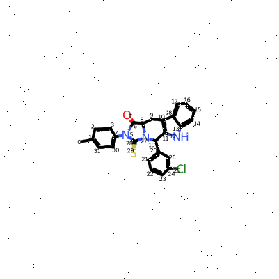 Cc1ccc(N2C(=O)C3Cc4c([nH]c5ccccc45)C(c4cccc(Cl)c4)N3C2=S)cc1